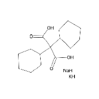 O=C(O)C(C(=O)O)(C1CCCCC1)C1CCCCC1.[KH].[NaH]